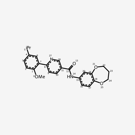 COc1ccc(C(C)C)cc1-c1ccc(C(=O)Nc2ccc3c(c2)OCCCO3)cn1